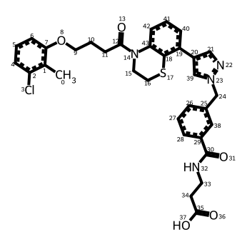 Cc1c(Cl)cccc1OCCCC(=O)N1CCSc2c(-c3cnn(Cc4cccc(C(=O)NCCC(=O)O)c4)c3)cccc21